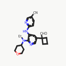 CCN(c1ncc(C2(C=O)CCC2)cc1Nc1ccc(C#N)cn1)C1CCOCC1